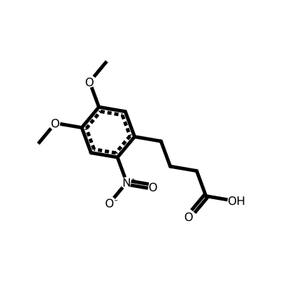 COc1cc(CCCC(=O)O)c([N+](=O)[O-])cc1OC